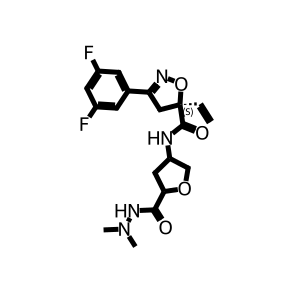 C=C[C@]1(C(=O)NC2COC(C(=O)NN(C)C)C2)CC(c2cc(F)cc(F)c2)=NO1